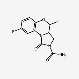 CC1Oc2ccc(F)cc2N2C(=S)N(C(N)=O)CC12